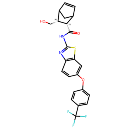 O=C(Nc1nc2ccc(Oc3ccc(C(F)(F)F)cc3)cc2s1)[C@H]1C2C=CC(C2)[C@H]1CO